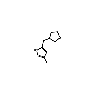 Cc1cc(CC2CCOC2)[nH]n1